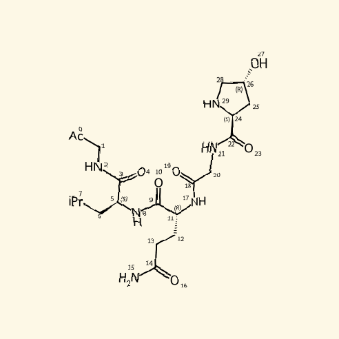 CC(=O)CNC(=O)[C@H](CC(C)C)NC(=O)[C@@H](CCC(N)=O)NC(=O)CNC(=O)[C@@H]1C[C@@H](O)CN1